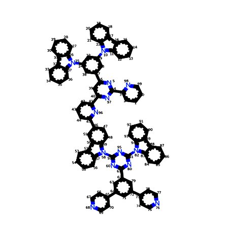 c1ccc(-c2nc(-c3cc(-n4c5ccccc5c5ccccc54)cc(-n4c5ccccc5c5ccccc54)c3)cc(-c3cccc(-c4ccc5c(c4)c4ccccc4n5-c4nc(-c5cc(-c6ccncc6)cc(-c6ccncc6)c5)nc(-n5c6ccccc6c6ccccc65)n4)n3)n2)nc1